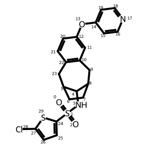 O=S(=O)(NC1C2CCC1Cc1cc(Oc3ccncc3)ccc1C2)c1ccc(Cl)s1